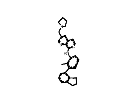 Cc1c(Nc2nccc3cc(CN4CCCC4)cnc23)cccc1-c1cccc2c1CCC2